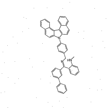 CNc1ccccc1/C(=N\Cc1ccc(-n2c3ccc4ccccc4c3c3c4ccccc4ccc32)cc1)c1cccc(-c2ccccc2)c1